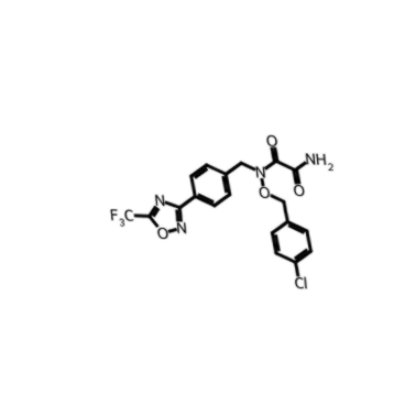 NC(=O)C(=O)N(Cc1ccc(-c2noc(C(F)(F)F)n2)cc1)OCc1ccc(Cl)cc1